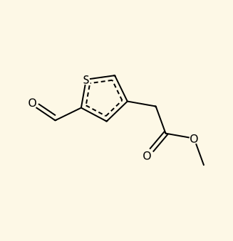 COC(=O)Cc1csc(C=O)c1